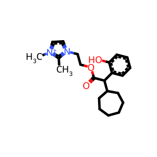 Cc1n(CCOC(=O)C(c2ccccc2O)C2CCCCCC2)cc[n+]1C